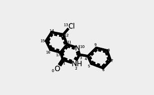 O=c1[nH]c(-c2ccccc2)nc2c(Cl)cccc12